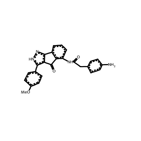 COc1ccc(-c2[nH]nc3c2C(=O)c2c(NC(=O)Cc4ccc(N)cc4)cccc2-3)cc1